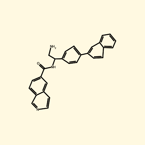 NCC(NC(=O)c1ccc2cnccc2c1)c1ccc(-c2ccc3ccccc3c2)cc1